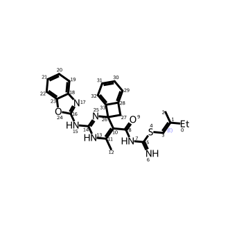 CC/C(C)=C/SC(=N)NC(=O)C1=C(C)NC(Nc2nc3ccccc3o2)=NC12Cc1ccccc12